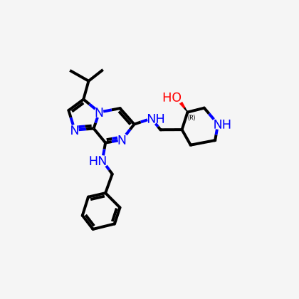 CC(C)c1cnc2c(NCc3ccccc3)nc(NCC3CCNC[C@@H]3O)cn12